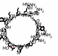 CCCC[C@H]1C(=O)N(C)[C@@H](CCCC)C(=O)N[C@@H](CCCNC(=N)N)C(=O)N[C@H](C(=O)NCC(N)=O)CSCC(=O)N[C@@H](Cc2ccc(N=C(N)N)cc2)C(=O)N(C)[C@@H](C)C(=O)N[C@@H](CC(N)=O)C(=O)N2CCC[C@H]2C(=O)N[C@@H](Cc2cnc[nH]2)C(=O)N[C@@H](CC(C)C)C(=O)N2C[C@H](O)CC2C(=O)N[C@@H](Cc2c[nH]c3ccccc23)C(=O)N[C@@H](CO)C(=O)N[C@@H](Cc2c[nH]c3ccccc23)C(=O)N1C